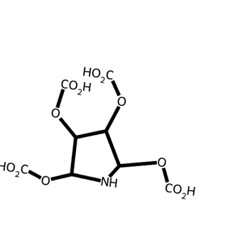 O=C(O)OC1NC(OC(=O)O)C(OC(=O)O)C1OC(=O)O